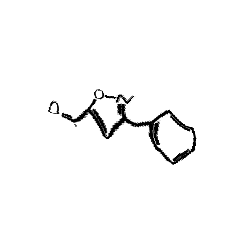 O=[C]c1cc(-c2ccccc2)no1